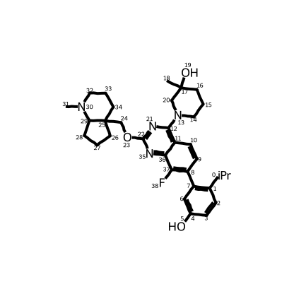 CC(C)c1ccc(O)cc1-c1ccc2c(N3CCCC(C)(O)C3)nc(OCC34CCCC3N(C)CCC4)nc2c1F